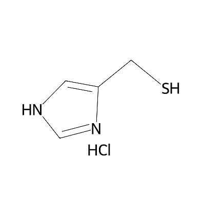 Cl.SCc1c[nH]cn1